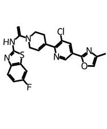 C=C(Nc1nc2ccc(F)cc2s1)N1CC=C(c2ncc(-c3nc(C)co3)cc2Cl)CC1